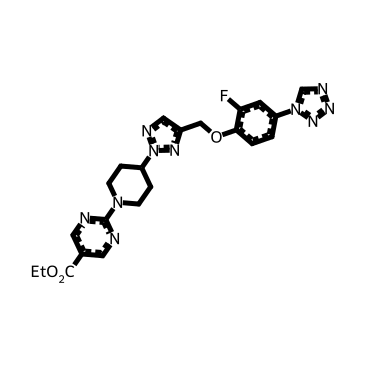 CCOC(=O)c1cnc(N2CCC(n3ncc(COc4ccc(-n5cnnn5)cc4F)n3)CC2)nc1